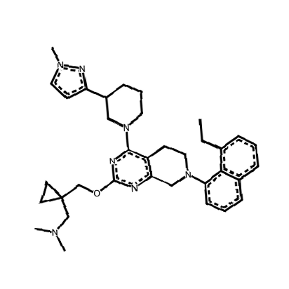 CCc1cccc2cccc(N3CCc4c(nc(OCC5(CN(C)C)CC5)nc4N4CCCC(c5ccn(C)n5)C4)C3)c12